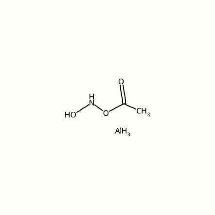 CC(=O)ONO.[AlH3]